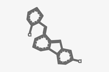 Clc1ccc2c(c1)C=c1c-2cccc1=Cc1ccccc1Cl